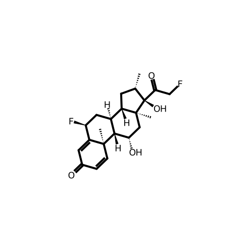 C[C@H]1C[C@H]2[C@@H]3C[C@H](F)C4=CC(=O)C=C[C@]4(C)[C@H]3[C@@H](O)C[C@]2(C)[C@@]1(O)C(=O)CF